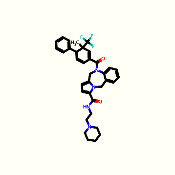 CC1(C(F)(F)F)C=C(C(=O)N2Cc3ccc(C(=O)NCCN4CCCCC4)n3Cc3ccccc32)C=CC1c1ccccc1